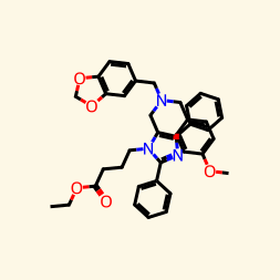 CCOC(=O)CCCn1c(-c2ccccc2)nc(-c2ccccc2)c1CN(Cc1ccc(OC)cc1)Cc1ccc2c(c1)OCO2